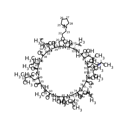 C/C=C/C[C@@H](C)[C@@H](O)[C@H]1C(=O)N[C@@H](CC)C(=O)N(C)[C@H](COCCN2CCCC2)C(=O)N(C)[C@@H](CC(C)C)C(=O)N[C@H](C(C)C)C(=O)N(C)[C@H](CCC(C)C)C(=O)N[C@H](C)C(=O)N[C@@H](C)C(=O)N(C)[C@@H](CC(C)C)C(=O)N(C)[C@@H](CC(C)C)C(=O)N(C)[C@@H](C(C)C)C(=O)N1C